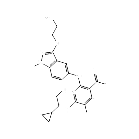 COCCNc1nn(C)c2ccc(Nc3nc(N[C@H](C4CC4)[C@H](C)N)c(F)cc3C(N)=O)cc12